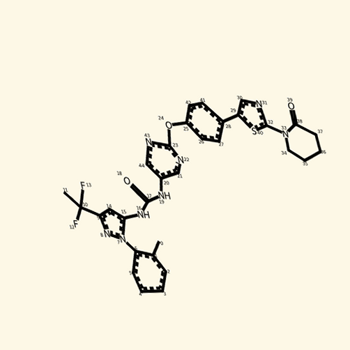 Cc1ccccc1-n1nc(C(C)(F)F)cc1NC(=O)Nc1cnc(Oc2ccc(-c3cnc(N4CCCCC4=O)s3)cc2)nc1